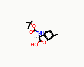 Cc1ccc([C@](C)(NC(=O)OC(C)(C)C)C(=O)O)cc1